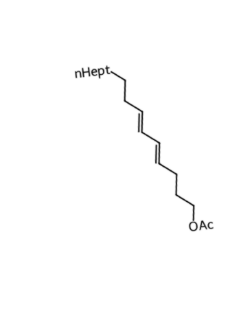 CCCCCCCCCC=CC=CCCCOC(C)=O